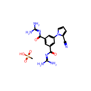 CS(=O)(=O)O.N#Cc1cccn1-c1cc(C(=O)N=C(N)N)cc(C(=O)N=C(N)N)c1